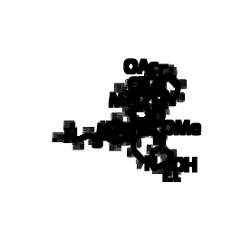 CC[C@]1(O)C[C@H]2CN(CCc3c([nH]c4ccc(SCCN(C)C)cc34)[C@@](C(=O)OC)(c3cc4c(cc3OC)N(C)[C@@]35O[C@]3(C(=O)OC)[C@H](OC(C)=O)[C@]3(CC)C=CCN6CC[C@]45[C@@H]63)C2)C1